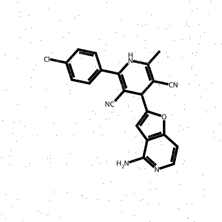 CC1=C(C#N)C(c2cc3c(N)nccc3o2)C(C#N)=C(c2ccc(Cl)cc2)N1